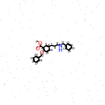 COC(=O)c1cc(CCCNCc2ccccc2)ccc1OCc1ccccc1